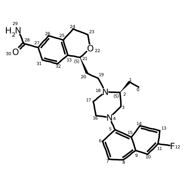 CC[C@H]1CN(c2cccc3cc(F)ccc23)CCN1CC[C@@H]1OCCc2cc(C(N)=O)ccc21